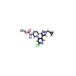 CC(C)(C)OC(=O)N[C@H]1CCCN(c2cc(Cl)ncc2-c2cnn(CC3CC3)c2)C1